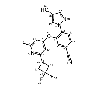 Cc1nc(Oc2cc(C#N)ccc2-n2cc(O)cn2)cc(N2CC(F)(F)C2)n1